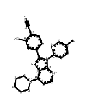 Cc1ccc(-n2c(-c3ccc(C#N)c(F)c3)nc3c(N4CCCCC4)ccnc32)nc1